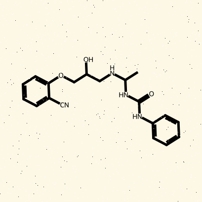 CC(NCC(O)COc1ccccc1C#N)NC(=O)Nc1ccccc1